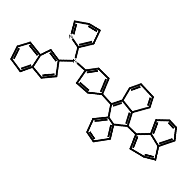 c1ccc(N(c2ccc(-c3c4ccccc4c(-c4cccc5ccccc45)c4ccccc34)cc2)c2ccc3ccccc3c2)nc1